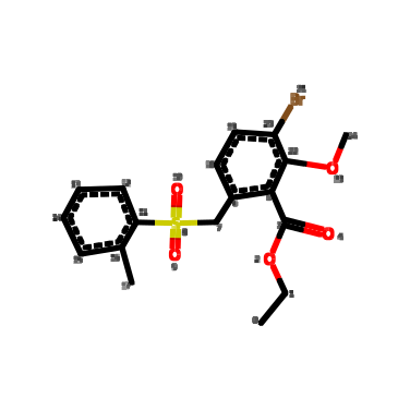 CCOC(=O)c1c(CS(=O)(=O)c2ccccc2C)ccc(Br)c1OC